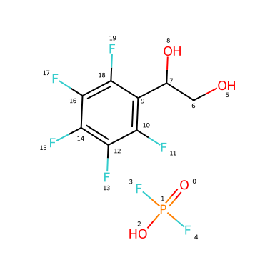 O=P(O)(F)F.OCC(O)c1c(F)c(F)c(F)c(F)c1F